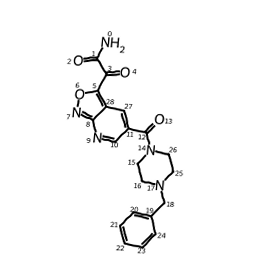 NC(=O)C(=O)c1onc2ncc(C(=O)N3CCN(Cc4ccccc4)CC3)cc12